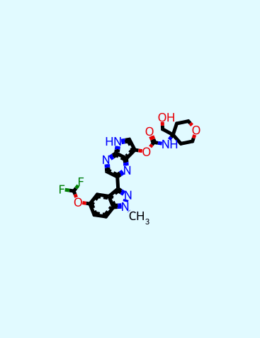 Cn1nc(-c2cnc3[nH]cc(OC(=O)NC4(CO)CCOCC4)c3n2)c2cc(OC(F)F)ccc21